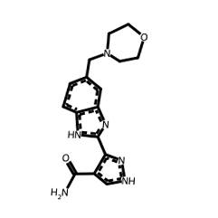 NC(=O)c1c[nH]nc1-c1nc2cc(CN3CCOCC3)ccc2[nH]1